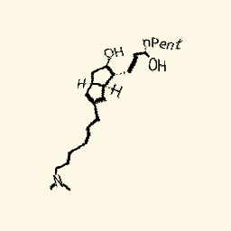 CCCCC[C@H](O)/C=C/[C@@H]1[C@H]2CC(CCCCCCN(C)C)=C[C@H]2C[C@H]1O